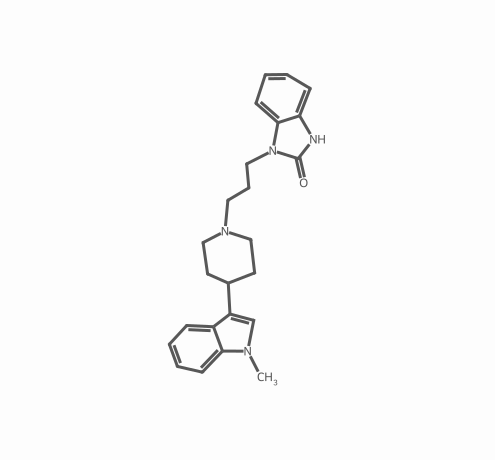 Cn1cc(C2CCN(CCCn3c(=O)[nH]c4ccccc43)CC2)c2ccccc21